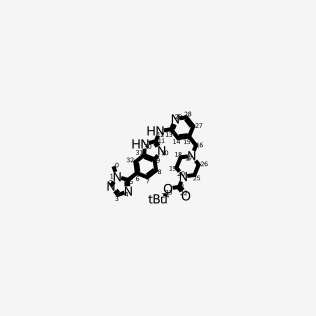 Cn1ncnc1-c1ccc2nc(Nc3cc(CN4CCN(C(=O)OC(C)(C)C)CC4)ccn3)[nH]c2c1